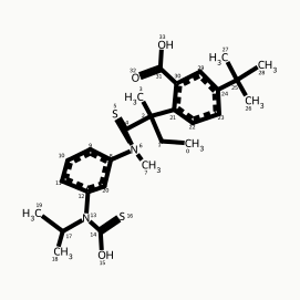 CCC(C)(C(=S)N(C)c1cccc(N(C(O)=S)C(C)C)c1)c1ccc(C(C)(C)C)cc1C(=O)O